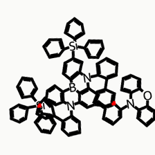 c1ccc(-c2ccccc2N2c3cc([Si](c4ccccc4)(c4ccccc4)c4ccccc4)ccc3B3c4ccc([Si](c5ccccc5)(c5ccccc5)c5ccccc5)cc4N(c4ccccc4-c4ccccc4)c4cc(-c5cccc(N6c7ccccc7Oc7ccccc76)c5)cc2c43)cc1